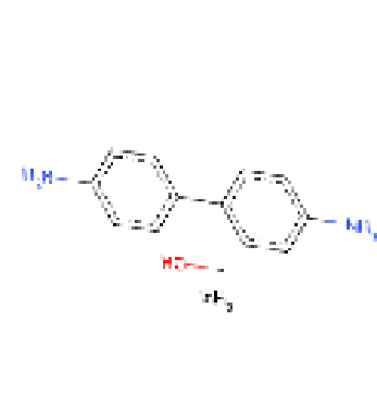 CO.Nc1ccc(-c2ccc(N)cc2)cc1.[InH3]